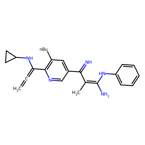 C=C=C(NC1CC1)c1ncc(C(=N)/C(C)=C(/N)Nc2ccccc2)cc1CCCC